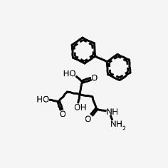 NNC(=O)CC(O)(CC(=O)O)C(=O)O.c1ccc(-c2ccccc2)cc1